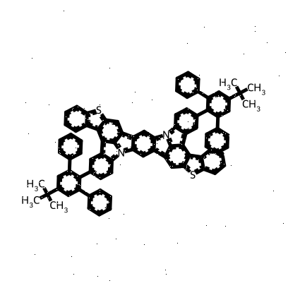 CC(C)(C)c1cc(-c2ccccc2)c(-c2ccc3c(c2)c2c4c(cc5c6cc7c(cc6n3c52)c2cc3sc5ccccc5c3c3c5cc(-c6c(-c8ccccc8)cc(C(C)(C)C)cc6-c6ccccc6)ccc5n7c23)sc2ccccc24)c(-c2ccccc2)c1